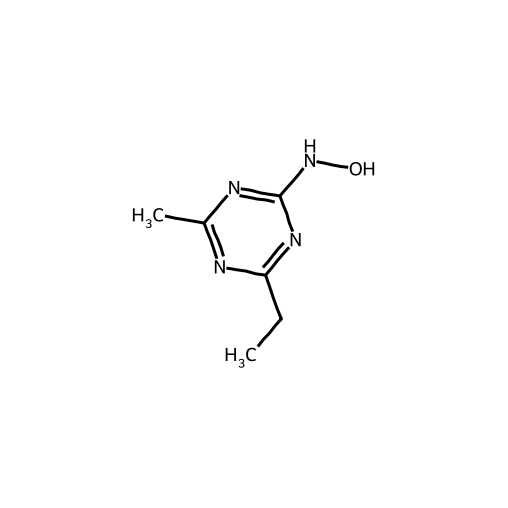 CCc1nc(C)nc(NO)n1